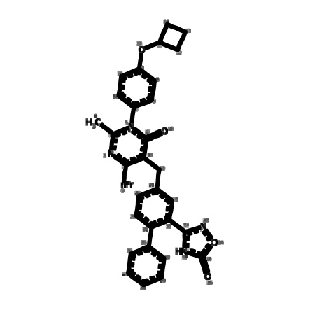 CCCc1nc(C)n(-c2ccc(OC3CCC3)cc2)c(=O)c1Cc1ccc(-c2ccccc2)c(-c2noc(=O)[nH]2)c1